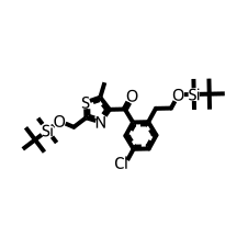 Cc1sc(CO[Si](C)(C)C(C)(C)C)nc1C(=O)c1cc(Cl)ccc1CCO[Si](C)(C)C(C)(C)C